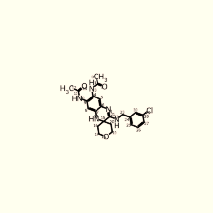 CC(=O)Nc1cc2c(cc1NC(C)=O)NC1(CCOCC1)C(NCc1cccc(Cl)c1)=N2